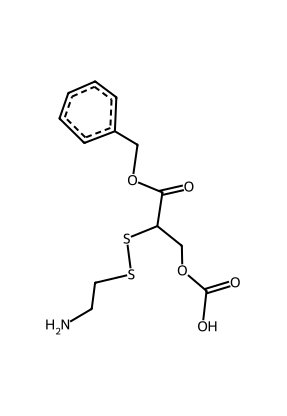 NCCSSC(COC(=O)O)C(=O)OCc1ccccc1